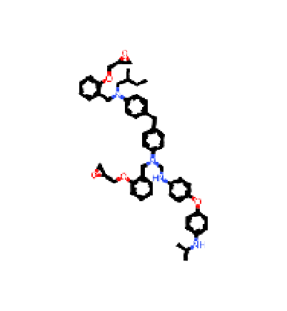 CCC(C)CN(Cc1ccccc1OCC1CO1)c1ccc(Cc2ccc(N(CNc3ccc(Oc4ccc(NC(C)C)cc4)cc3)Cc3ccccc3OCC3CO3)cc2)cc1